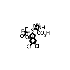 O=C(O)C(F)(F)F.O=C(O)c1[nH]nnc1SC1Cc2cc(Cl)c(Cl)cc2C1